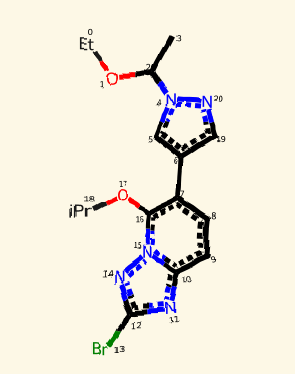 CCOC(C)n1cc(-c2ccc3nc(Br)nn3c2OC(C)C)cn1